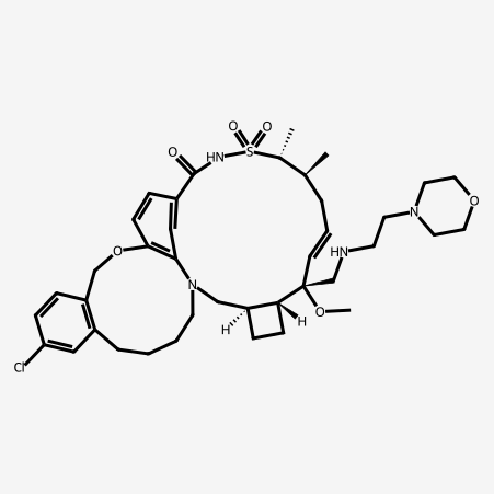 CO[C@@]1(CNCCN2CCOCC2)/C=C/C[C@H](C)[C@@H](C)S(=O)(=O)NC(=O)c2ccc3c(c2)N(CCCCc2cc(Cl)ccc2CO3)C[C@@H]2CC[C@H]21